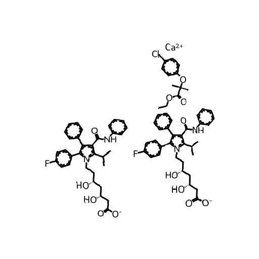 CC(C)c1c(C(=O)Nc2ccccc2)c(-c2ccccc2)c(-c2ccc(F)cc2)n1CC[C@@H](O)C[C@@H](O)CC(=O)[O-].CC(C)c1c(C(=O)Nc2ccccc2)c(-c2ccccc2)c(-c2ccc(F)cc2)n1CC[C@@H](O)C[C@@H](O)CC(=O)[O-].CCOC(=O)C(C)(C)Oc1ccc(Cl)cc1.[Ca+2]